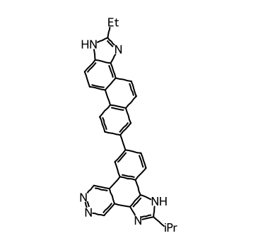 CCc1nc2c(ccc3c4ccc(-c5ccc6c(c5)c5cnncc5c5nc(C(C)C)[nH]c65)cc4ccc32)[nH]1